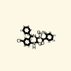 O=C(NC1N=C(c2ccccc2)c2cc(Cl)ccc2NC1=O)c1ccccc1[N+](=O)[O-]